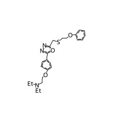 CCN(CC)CCOc1ccc(-c2nnc(CSCCOc3ccccc3)o2)cc1